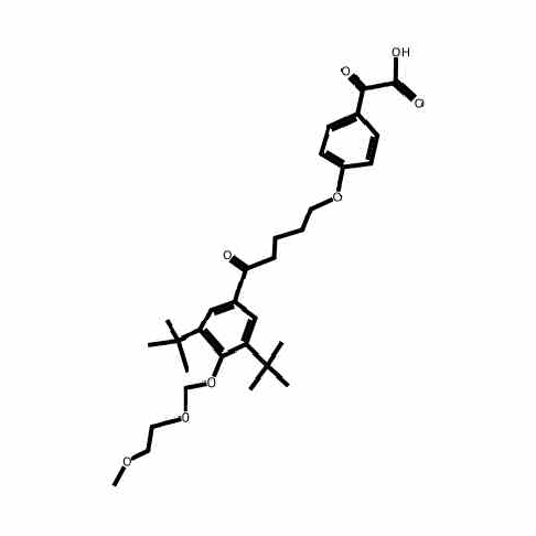 COCCOCOc1c(C(C)(C)C)cc(C(=O)CCCCOc2ccc(C(=O)C(=O)O)cc2)cc1C(C)(C)C